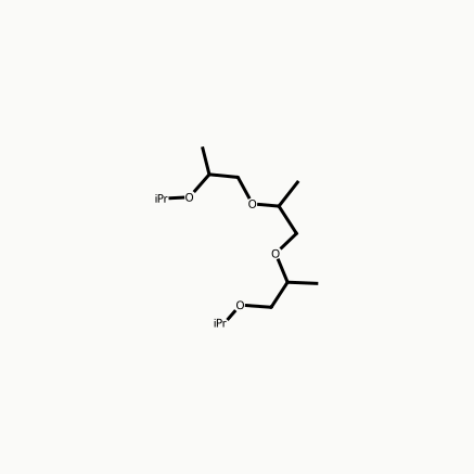 CC(C)OCC(C)OCC(C)OCC(C)OC(C)C